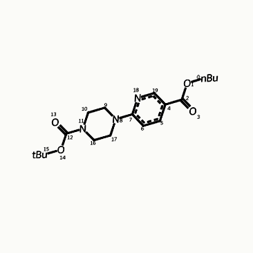 CCCCOC(=O)c1ccc(N2CCN(C(=O)OC(C)(C)C)CC2)nc1